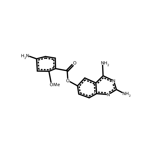 COc1cc(N)ccc1C(=O)Oc1ccc2nc(N)nc(N)c2c1